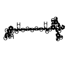 COc1ccc(CCC(OC(=O)[C@@H]2CCCCN2C(=O)Cc2cc(OC)c(OC)c(OC)c2)c2cccc(OCC(=O)NCCOCCOCCOCCOCCOCCNC(=O)COc3cccc4c3C(=O)N(C3CCC(=O)NC3=O)C4=O)c2)cc1OC